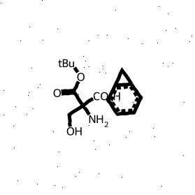 CC(C)(C)OC(=O)C(N)(CO)C(=O)O.c1ccc2c(c1)C2